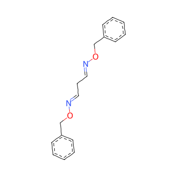 C(CC=NOCc1ccccc1)=NOCc1ccccc1